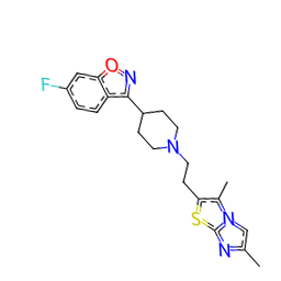 Cc1cn2c(C)c(CCN3CCC(c4noc5cc(F)ccc45)CC3)sc2n1